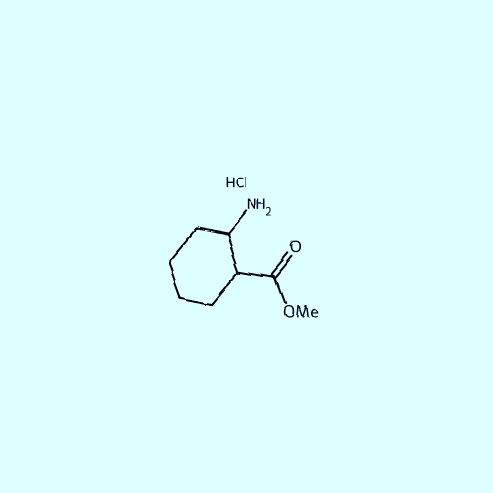 COC(=O)C1CCCCC1N.Cl